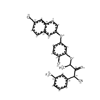 CC(Oc1cc(Oc2cnc3cc(Cl)ccc3n2)ccc1Cl)C(=O)C(C#N)c1cccc(C(F)(F)F)c1